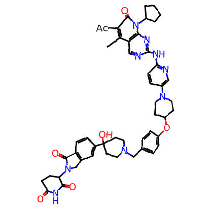 CC(=O)c1c(C)c2cnc(Nc3ccc(N4CCC(Oc5ccc(CN6CCC(O)(c7ccc8c(c7)CN(C7CCC(=O)NC7=O)C8=O)CC6)cc5)CC4)cn3)nc2n(C2CCCC2)c1=O